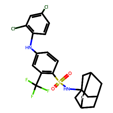 O=S(=O)(NC12CC3CC(CC(C3)C1)C2)c1ccc(Nc2ccc(Cl)cc2Cl)cc1C(F)(F)F